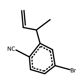 C=C[C](C)c1cc(Br)ccc1C#N